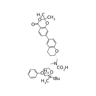 CC1(C)OC(=O)c2ccc(-c3ccc4c(c3)CC[C@@H](CN(C[C@@H](COc3ccccc3)O[Si](C)(C)C(C)(C)C)C(=O)O)O4)cc2O1